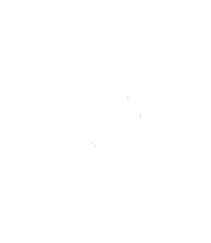 Cc1ncc([CH]C(F)(F)F)s1